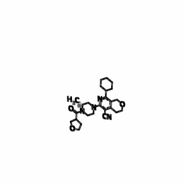 C[C@@H]1CN(c2nc(C3CCCCC3)c3c(c2C#N)CCOC3)CCN1C(=O)C1CCOC1